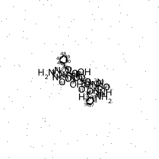 Nc1ncn([C@@H]2O[C@H](CO)[C@H](OP(=O)(O)OC[C@H]3O[C@@H](n4cnc5c(=O)[nH]c(N)nc54)C(OCc4ccccc4)C3O)C2OCc2ccccc2)c(=O)n1